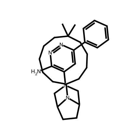 CC1(C)CCCCCC(N2C3CCC2CN(c2cc(-c4ccccc4)nnc2N)C3)CCCC1